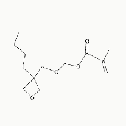 C=C(C)C(=O)OCOCC1(CCCC)COC1